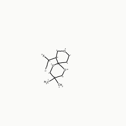 CC1(C)COC2(CCOCC2C(F)F)OC1